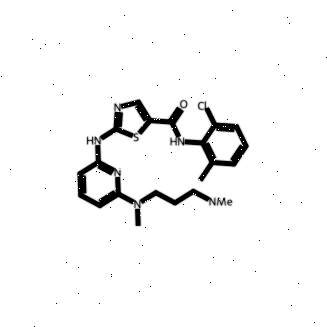 CNCCCN(C)c1cccc(Nc2ncc(C(=O)Nc3c(C)cccc3Cl)s2)n1